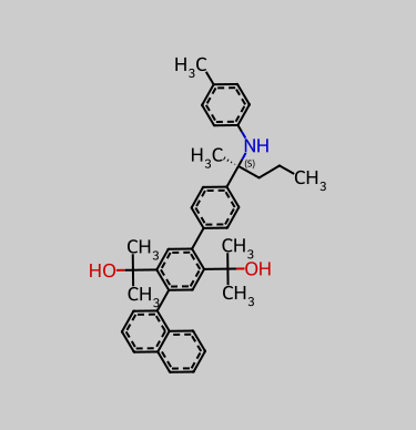 CCC[C@](C)(Nc1ccc(C)cc1)c1ccc(-c2cc(C(C)(C)O)c(-c3cccc4ccccc34)cc2C(C)(C)O)cc1